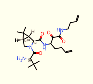 C=CCCNC(=O)C(=O)C(CCC=C)NC(=O)[C@@H]1[C@@H]2[C@H](CN1C(=O)[C@@H](N)C(C)(C)C)C2(C)C